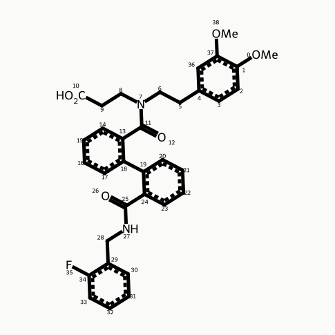 COc1ccc(CCN(CCC(=O)O)C(=O)c2ccccc2-c2ccccc2C(=O)NCc2ccccc2F)cc1OC